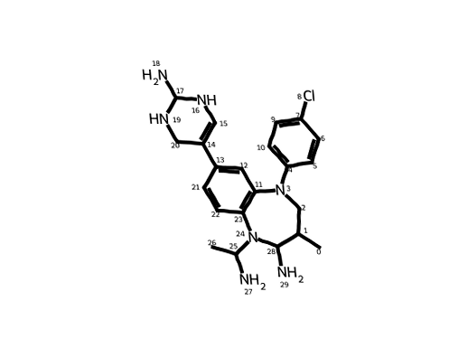 CC1CN(c2ccc(Cl)cc2)c2cc(C3=CNC(N)NC3)ccc2N(C(C)N)C1N